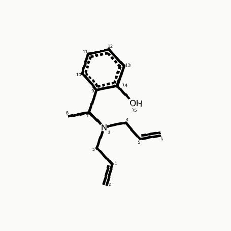 C=CCN(CC=C)C(C)c1ccccc1O